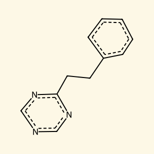 c1ccc(CCc2ncncn2)cc1